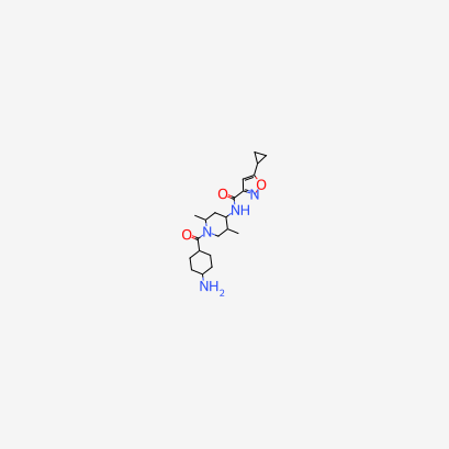 CC1CN(C(=O)C2CCC(N)CC2)C(C)CC1NC(=O)c1cc(C2CC2)on1